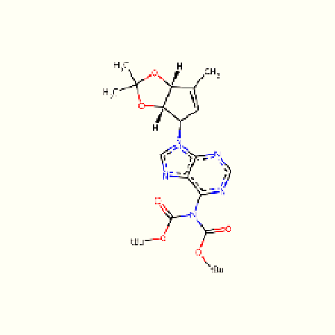 CC1=C[C@@H](n2cnc3c(N(C(=O)OC(C)(C)C)C(=O)OC(C)(C)C)ncnc32)[C@@H]2OC(C)(C)O[C@H]12